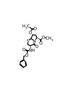 COC(=O)[C@@H]1C[C@@H](OC(C)=O)C2SC[C@H](NC(=O)OCc3ccccc3)C(=O)N21